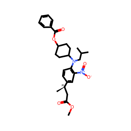 COC(=O)C[C@@H](C)c1ccc(N(CC(C)C)C2CCC(OC(=O)c3ccccc3)CC2)c([N+](=O)[O-])c1